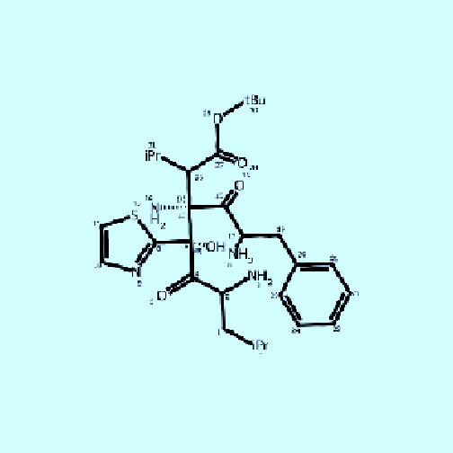 CC(C)CC(N)C(=O)[C@@](O)(c1nccs1)[C@](N)(C(=O)C(N)Cc1ccccc1)C(C(=O)OC(C)(C)C)C(C)C